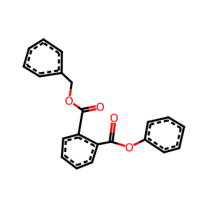 O=C(OCc1ccccc1)c1ccccc1C(=O)Oc1ccccc1